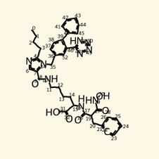 CCCCc1ncc(C(=O)NCCCCC(NC(=O)C(Cc2ccccc2)C(=O)NO)C(=O)O)n1Cc1ccc(-c2ccccc2)c(-c2nnn[nH]2)c1